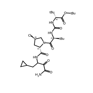 CC(C)(C)OC(=O)[C@H](NC(=O)N[C@H](C(=O)N1C[C@H](Cl)C[C@H]1C(=O)NC(CC1CC1)C(=O)C(N)=O)C(C)(C)C)C(C)(C)C